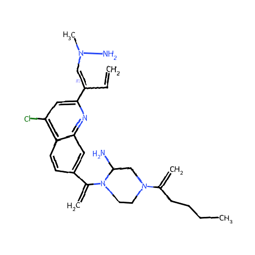 C=C/C(=C\N(C)N)c1cc(Cl)c2ccc(C(=C)N3CCN(C(=C)CCCC)CC3N)cc2n1